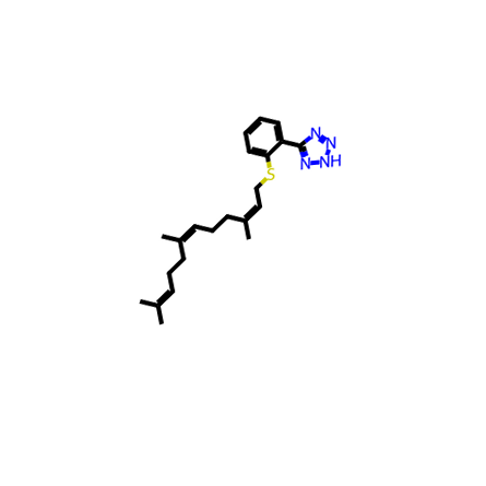 CC(C)=CCCC(C)=CCCC(C)=CCSc1ccccc1-c1nn[nH]n1